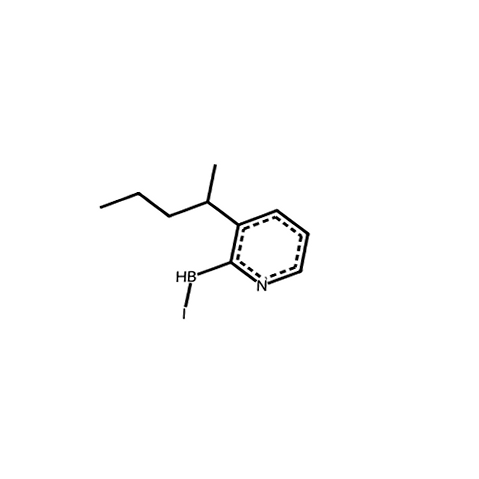 CCCC(C)c1cccnc1BI